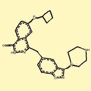 O=c1[nH]nc(Cc2ccc3onc(N4CCNCC4)c3c2)c2cc(OC3CCC3)ccc12